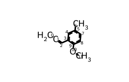 C=C=Cc1cc(C)ccc1OC